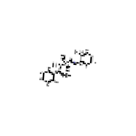 N=C(NS(=O)(=O)/C=C/c1ccccc1F)c1ccccc1